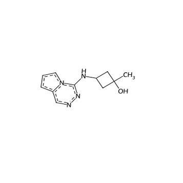 CC1(O)CC(Nc2nncc3cccn23)C1